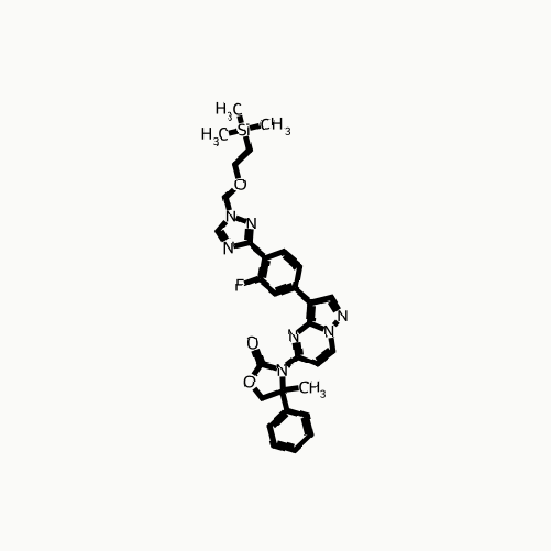 CC1(c2ccccc2)COC(=O)N1c1ccn2ncc(-c3ccc(-c4ncn(COCC[Si](C)(C)C)n4)c(F)c3)c2n1